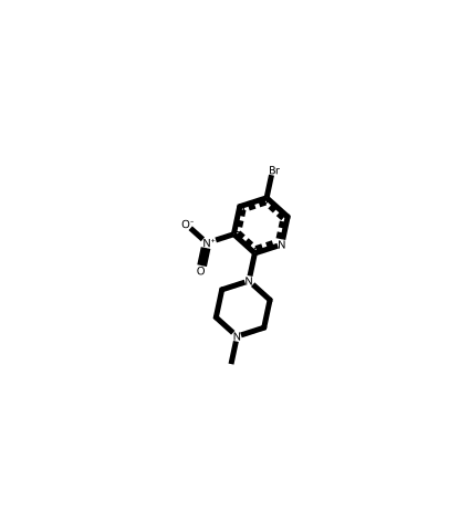 CN1CCN(c2ncc(Br)cc2[N+](=O)[O-])CC1